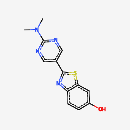 CN(C)c1ncc(-c2nc3ccc(O)cc3s2)cn1